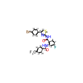 O=C(Nc1cc(F)ccc1C(=O)Nc1nc(-c2ccc(Br)cc2)cs1)c1ccc(C(F)(F)F)cc1